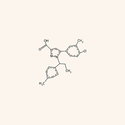 CCC(c1ccc(C)cc1)n1nc(C(=O)O)cc1-c1ccc(Cl)c(C)c1